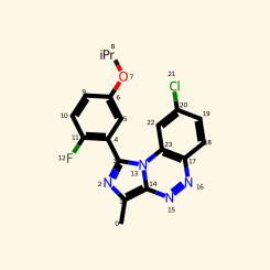 Cc1nc(-c2cc(OC(C)C)ccc2F)n2c1nnc1ccc(Cl)cc12